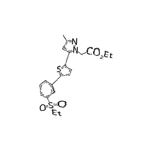 CCOC(=O)Cn1nc(C)cc1-c1ccc(-c2cccc(S(=O)(=O)CC)c2)s1